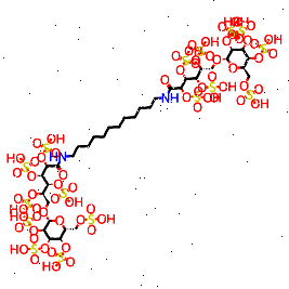 O=C(NCCCCCCCCCCCCNC(=O)[C@H](OS(=O)(=O)O)[C@@H](OS(=O)(=O)O)[C@H](OS(=O)(=O)O)[C@@H](CO[C@H]1O[C@H](COS(=O)(=O)O)[C@H](OS(=O)(=O)O)[C@H](OS(=O)(=O)O)[C@H]1OS(=O)(=O)O)OS(=O)(=O)O)[C@H](OS(=O)(=O)O)[C@@H](OS(=O)(=O)O)[C@H](OS(=O)(=O)O)[C@@H](CO[C@H]1O[C@H](COS(=O)(=O)O)[C@H](OS(=O)(=O)O)[C@H](OS(=O)(=O)O)[C@H]1OS(=O)(=O)O)OS(=O)(=O)O